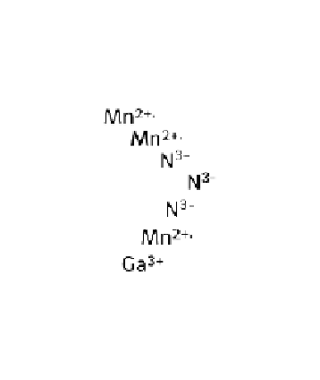 [Ga+3].[Mn+2].[Mn+2].[Mn+2].[N-3].[N-3].[N-3]